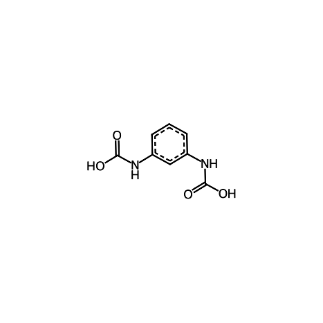 O=C(O)Nc1cccc(NC(=O)O)c1